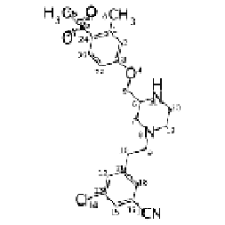 Cc1cc(OCC2CN(CCc3cc(Cl)cc(C#N)c3)CCN2)ccc1S(C)(=O)=O